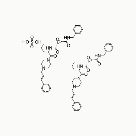 CC(C)C[C@H](NC(=O)[C@@H]1O[C@H]1C(=O)NCc1ccccc1)C(=O)N1CCN(C/C=C/c2ccccc2)CC1.CC(C)C[C@H](NC(=O)[C@@H]1O[C@H]1C(=O)NCc1ccccc1)C(=O)N1CCN(C/C=C/c2ccccc2)CC1.O=S(=O)(O)O